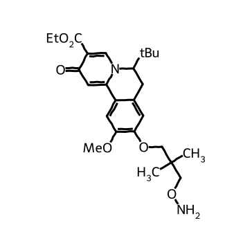 CCOC(=O)c1cn2c(cc1=O)-c1cc(OC)c(OCC(C)(C)CON)cc1CC2C(C)(C)C